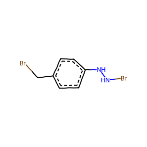 BrCc1ccc(NNBr)cc1